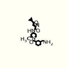 C[C@H]1C[C@@H](NC(=O)c2cc(C3CC3)on2)CCN1C(=O)C1CCCC(CN)C1